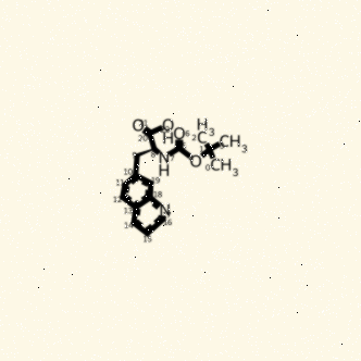 CC(C)(C)OC(=O)N[C@@H](Cc1ccc2cccnc2c1)C(=O)O